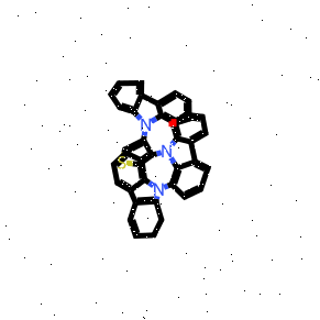 C1=Cc2c(n(-c3cccc4c5ccccc5n(-c5cscc5-n5c6ccccc6c6ccccc65)c34)c3ccccc23)CC1